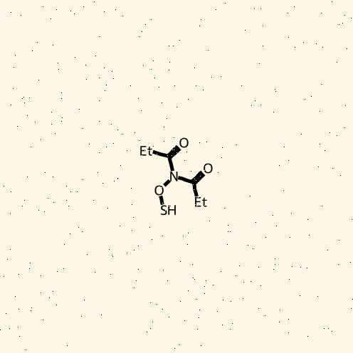 CCC(=O)N(OS)C(=O)CC